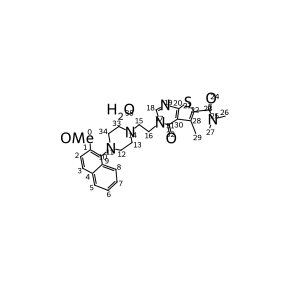 COc1ccc2ccccc2c1N1CCN(CCn2cnc3sc(C(=O)N(C)C)c(C)c3c2=O)CC1.O